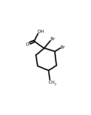 CC1CCC(Br)(C(=O)O)C(Br)C1